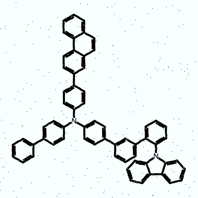 c1ccc(-c2ccc(N(c3ccc(-c4cccc(-c5ccccc5-n5c6ccccc6c6ccccc65)c4)cc3)c3ccc(-c4ccc5c(ccc6ccccc65)c4)cc3)cc2)cc1